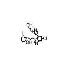 CCCCn1cc(-c2cc(Cl)cc3ncn(CCC[C@H]4NCCC[C@@H]4O)c23)cn1